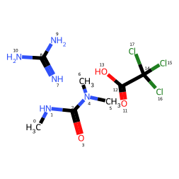 CNC(=O)N(C)C.N=C(N)N.O=C(O)C(Cl)(Cl)Cl